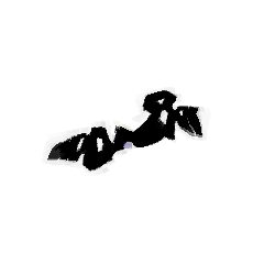 N#Cc1ccc(/C=C/c2ccc(C#N)c3ccccc23)cc1